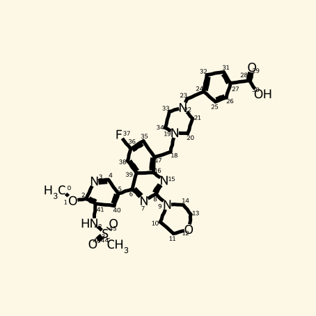 COc1ncc(-c2nc(N3CCOCC3)nc3c(CN4CCN(Cc5ccc(C(=O)O)cc5)CC4)cc(F)cc23)cc1NS(C)(=O)=O